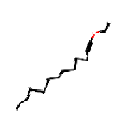 [CH2]COC#CCCCCCCCCCCC